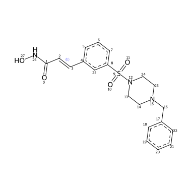 O=C(/C=C/c1cccc(S(=O)(=O)N2CCN(Cc3ccccc3)CC2)c1)NO